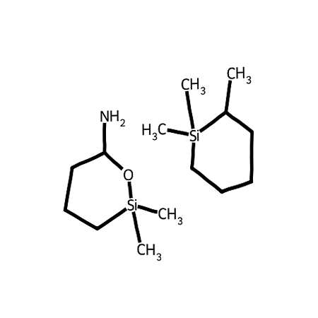 CC1CCCC[Si]1(C)C.C[Si]1(C)CCCC(N)O1